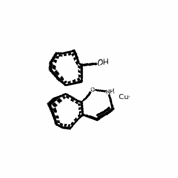 C1=Cc2ccccc2ON1.Oc1ccccc1.[Cu]